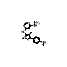 CNc1ccc(-c2nn(C)c(Nc3cc(NN)ncn3)c2C)cc1